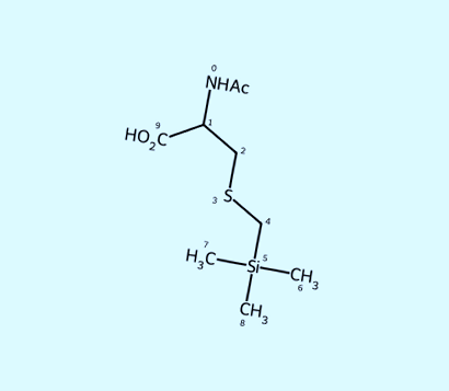 CC(=O)NC(CSC[Si](C)(C)C)C(=O)O